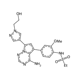 CCS(=O)(=O)Nc1ccc(-c2cc(-c3cnn(CCO)c3)n3ncnc(N)c23)cc1OC